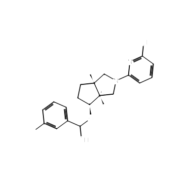 CC(O[C@H]1CC[C@@H]2CN(c3cccc(C(F)(F)F)n3)C[C@@H]21)c1cccc(F)c1